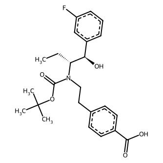 CC[C@H]([C@H](O)c1cccc(F)c1)N(CCc1ccc(C(=O)O)cc1)C(=O)OC(C)(C)C